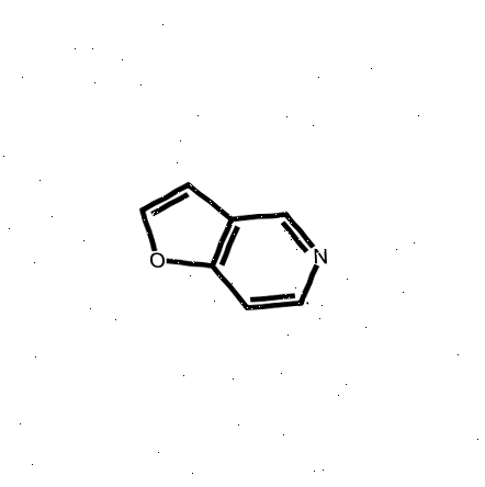 [c]1cc2occc2cn1